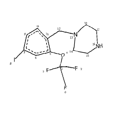 FC(F)(F)Oc1cc(I)ccc1CN1CCNCC1